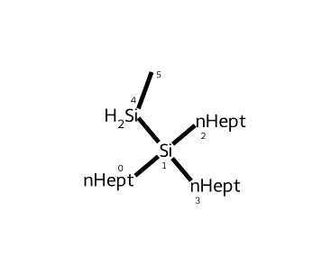 CCCCCCC[Si](CCCCCCC)(CCCCCCC)[SiH2]C